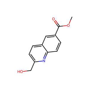 COC(=O)c1ccc2nc(CO)ccc2c1